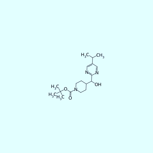 CC(C)c1cnc(C(O)C2CCN(C(=O)OC(C)(C)C)CC2)nc1